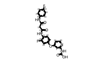 O=C(O)Nc1cc(Oc2ccc(NC(=O)CC(=O)Nc3ccc(F)cc3)c(F)c2)ccn1